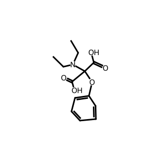 CCN(CC)C(Oc1ccccc1)(C(=O)O)C(=O)O